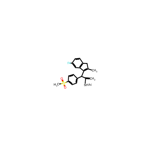 C=C(NC(C)=O)C(C1=C(C)Cc2ccc(F)cc21)c1ccc(S(C)(=O)=O)cc1